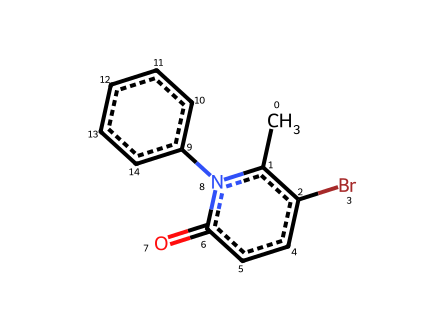 Cc1c(Br)ccc(=O)n1-c1ccccc1